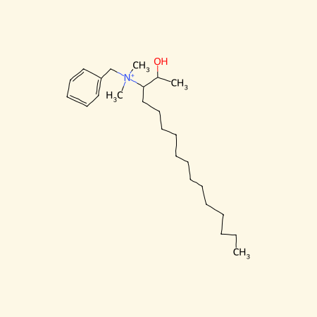 CCCCCCCCCCCCCC(C(C)O)[N+](C)(C)Cc1ccccc1